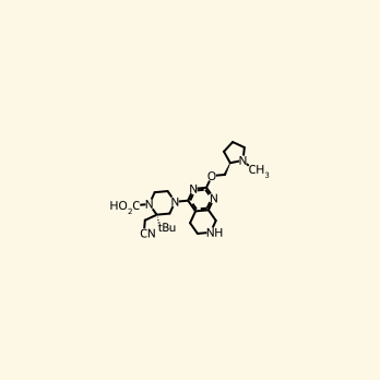 CN1CCC[C@@H]1COc1nc2c(c(N3CCN(C(=O)O)[C@@](CC#N)(C(C)(C)C)C3)n1)CCNC2